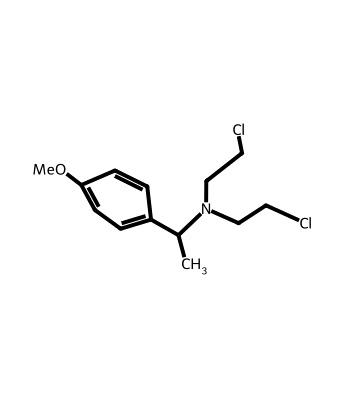 COc1ccc(C(C)N(CCCl)CCCl)cc1